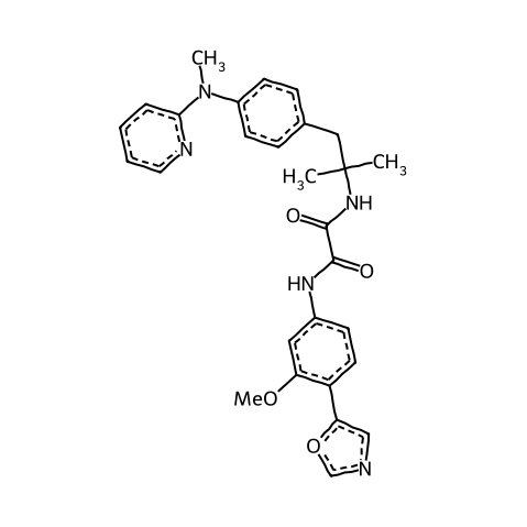 COc1cc(NC(=O)C(=O)NC(C)(C)Cc2ccc(N(C)c3ccccn3)cc2)ccc1-c1cnco1